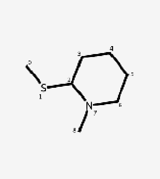 CSC1CCCCN1C